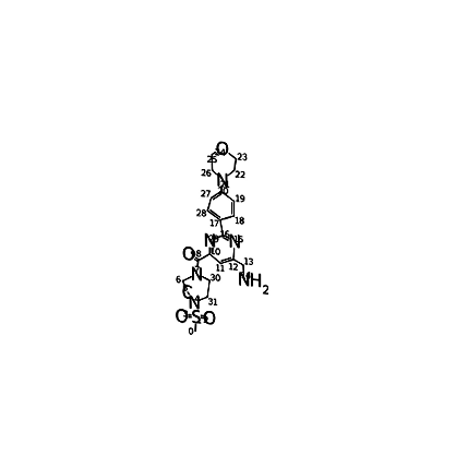 CS(=O)(=O)N1CCN(C(=O)c2cc(CN)nc(-c3ccc(N4CCOCC4)cc3)n2)CC1